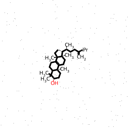 C=C(CC[C@@H](C)[C@H]1CC[C@@]2(C)C3=C(CC[C@]12C)[C@@]1(C)CC[C@H](O)C(C)(C)C1CC3)C(C)C